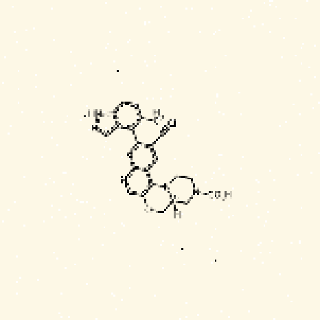 C#Cc1cc2c3c(cnc2cc1-c1c(C)ccc2[nH]ncc12)OC[C@H]1CN(C(=O)O)CCN31